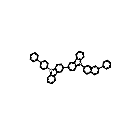 c1ccc(-c2ccc(-n3c4ccccc4c4cc(-c5ccc6c(c5)c5ccccc5n6-c5ccc6ccc(-c7ccccc7)cc6c5)ccc43)cc2)cc1